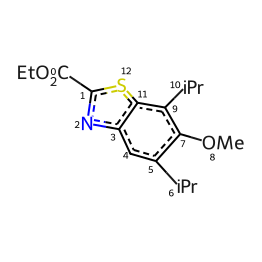 CCOC(=O)c1nc2cc(C(C)C)c(OC)c(C(C)C)c2s1